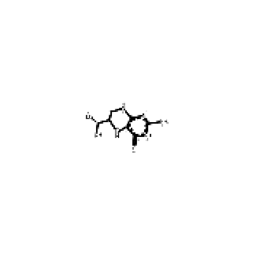 CC[C@H](O)C1CNc2nc(N)[nH]c(=O)c2N1